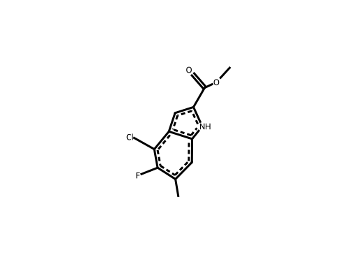 COC(=O)c1cc2c(Cl)c(F)c(C)cc2[nH]1